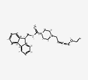 CCON=C=CCN1CCN(C(=O)OCC2c3ccccc3-c3ccccc32)CC1